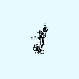 CCCNc1nc(Nc2ccnc(F)c2)ncc1C#CCCCNC(=O)[C@H](C)N(C)C(=O)OC(C)(C)C